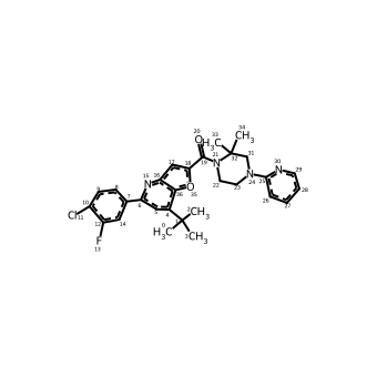 CC(C)(C)c1cc(-c2ccc(Cl)c(F)c2)nc2cc(C(=O)N3CCN(c4ccccn4)CC3(C)C)oc12